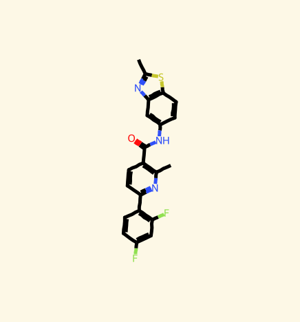 Cc1nc2cc(NC(=O)c3ccc(-c4ccc(F)cc4F)nc3C)ccc2s1